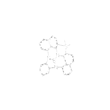 CS1(C)c2ccc3cccc4c3c2N2B3N4c4ccccc4N3c3cccc4ccc1c2c34